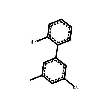 CCc1cc(C)cc(-c2[c]cccc2C(C)C)c1